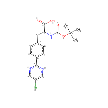 CC(C)(C)OC(=O)NC(Cc1ccc(-c2ncc(Br)cn2)cc1)C(=O)O